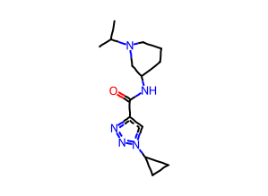 CC(C)N1CCCC(NC(=O)c2cn(C3CC3)nn2)C1